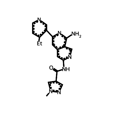 CCc1ccncc1-c1cc2cc(NC(=O)c3cnn(C)c3)ncc2c(N)n1